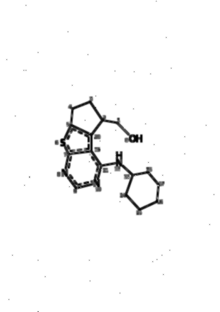 OCC1CCc2sc3ncnc(NC4CCCCC4)c3c21